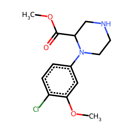 COC(=O)C1CNCCN1c1ccc(Cl)c(OC)c1